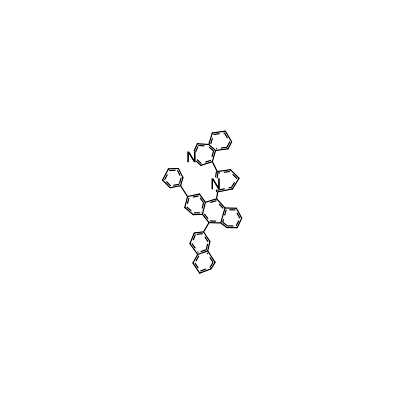 c1ccc(-c2ccc3c(-c4ccc5ccccc5c4)c4ccccc4c(-c4cccc(-c5cncc6ccccc56)n4)c3c2)cc1